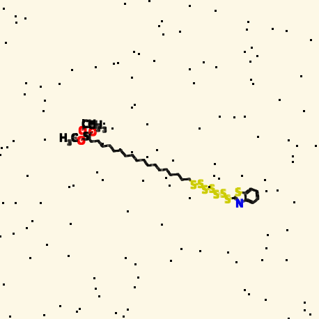 CO[Si](CCCCCCCCCCCCCCCCCCSSSSSSSc1nc2ccccc2s1)(OC)OC